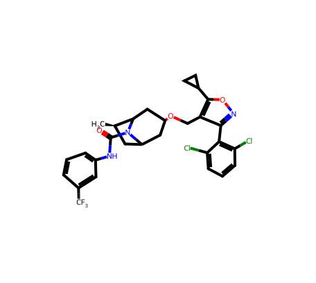 C[C@@H]1CC2C[C@H](OCc3c(-c4c(Cl)cccc4Cl)noc3C3CC3)CC1N2C(=O)Nc1cccc(C(F)(F)F)c1